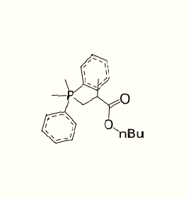 CCCCOC(=O)C(C)CP(C)(C)(c1ccccc1)c1ccccc1